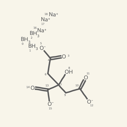 B.B.B.O=C([O-])CC(O)(CC(=O)[O-])C(=O)[O-].[Na+].[Na+].[Na+]